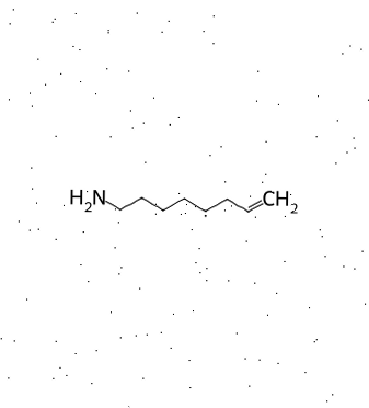 C=CC[CH]CCCCN